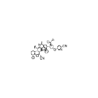 Cc1nc2c(F)c(-c3cccc(Cl)c3Cl)c(CCC#N)cc2c2c1cc(C1CC(Oc3ccc(C#N)nc3)CN1C(=O)C1CC1)n2C1C2CNC1C2